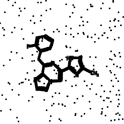 Cc1n[nH]c(-c2cn3ccnc3c(Cc3ccccc3F)n2)n1